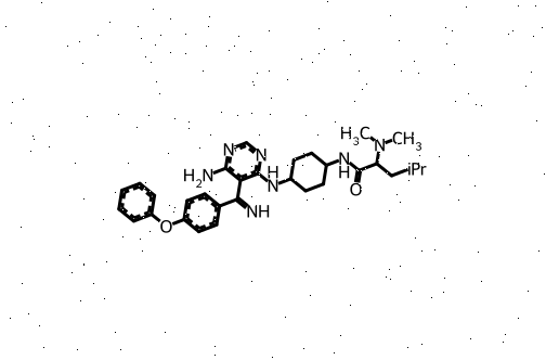 CC(C)CC(C(=O)NC1CCC(Nc2ncnc(N)c2C(=N)c2ccc(Oc3ccccc3)cc2)CC1)N(C)C